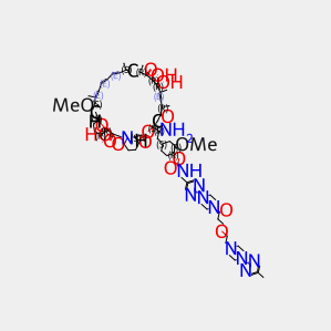 CO[C@H]1C[C@@H]2CC[C@@H](C)[C@@](O)(O2)C(=O)C(=O)N2CCCC[C@H]2C(=O)O[C@H]([C@H](N)C[C@@H]2CC[C@@H](OC(=O)NCc3cnc(N4CCN(C(=O)CCOCCN5CCN(c6ncc(C)cn6)CC5)CC4)nc3)[C@H](OC)C2)CC(=O)[C@H](C)/C=C(\C)[C@@H](O)[C@@H](O)C(=O)[C@H](C)C[C@H](C)/C=C/C=C/C=C/1C